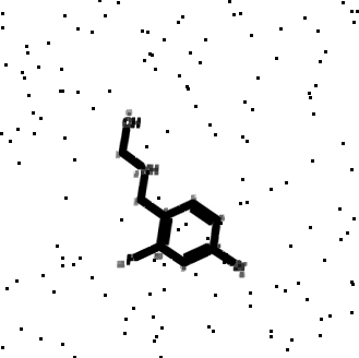 OCNCc1ccc(Br)cc1F